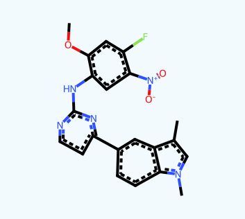 COc1cc(F)c([N+](=O)[O-])cc1Nc1nccc(-c2ccc3c(c2)c(C)cn3C)n1